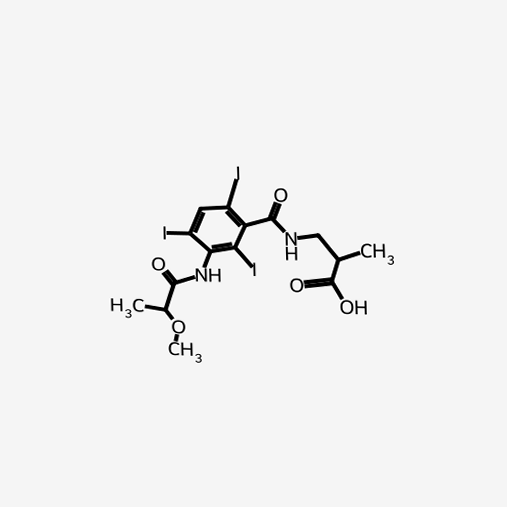 COC(C)C(=O)Nc1c(I)cc(I)c(C(=O)NCC(C)C(=O)O)c1I